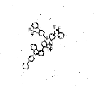 FC(F)(F)c1ccccc1-c1ccc(N(c2ccc(-c3ccccc3C(F)(F)F)cc2)c2ccc(-c3cccc4c3c3ccccc3n4-c3ccc(C4CCCCC4)cc3)c3nsnc23)cc1